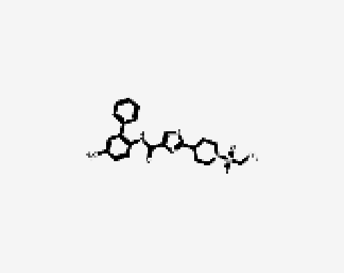 Cc1ccc(NC(=O)c2csc(C3CCN(S(=O)(=O)CC(F)(F)F)CC3)n2)c(-c2ccccc2)c1